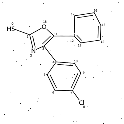 Sc1nc(-c2ccc(Cl)cc2)c(-c2ccccc2)o1